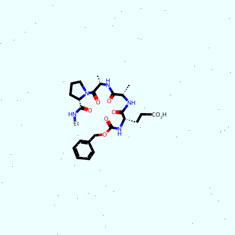 CCNC(=O)[C@@H]1CCCN1C(=O)[C@H](C)NC(=O)[C@H](C)NC(=O)[C@H](CCC(=O)O)NC(=O)OCc1ccccc1